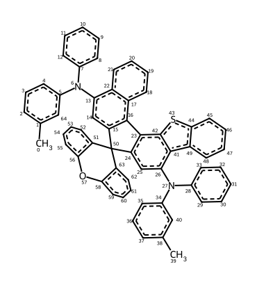 Cc1cccc(N(c2ccccc2)c2cc3c(c4ccccc24)-c2c(cc(N(c4ccccc4)c4cccc(C)c4)c4c2sc2ccccc24)C32c3ccccc3Oc3ccccc32)c1